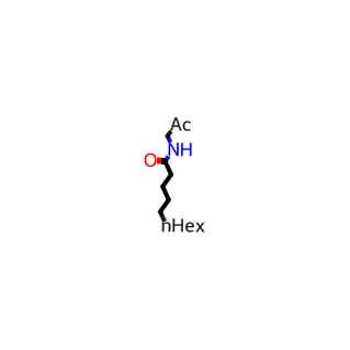 CCCCCCCCCCC(=O)NCC(C)=O